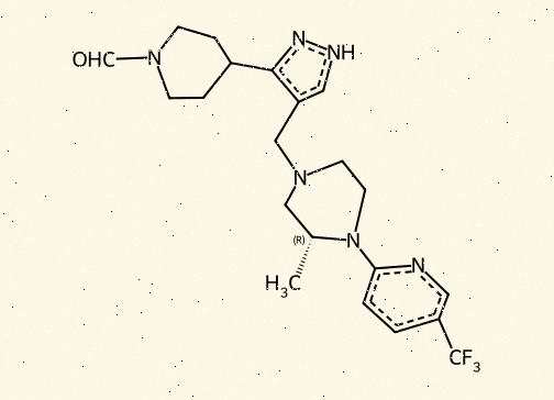 C[C@@H]1CN(Cc2c[nH]nc2C2CCN(C=O)CC2)CCN1c1ccc(C(F)(F)F)cn1